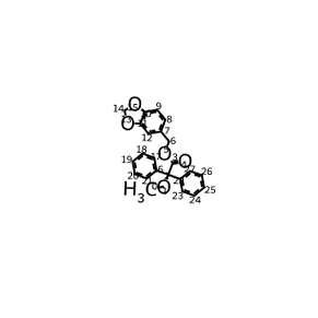 COC(C(=O)OCc1ccc2c(c1)OCO2)(c1ccccc1)c1ccccc1